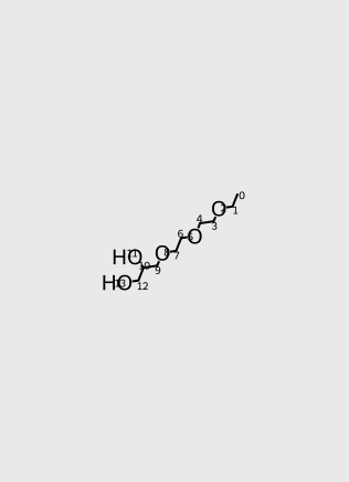 CCOCCOCCOCC(O)CO